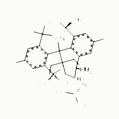 Cc1cc(C(C)(C)C)c(C(O)(c2c(C(C)(C)C)cc(C)cc2C(C)(C)C)C(CO)(CO)CO)c(C(C)(C)C)c1.OP(O)O